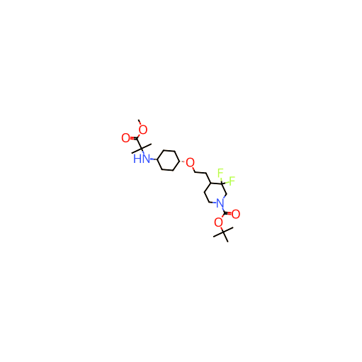 COC(=O)C(C)(C)N[C@H]1CC[C@H](OCCC2CCN(C(=O)OC(C)(C)C)CC2(F)F)CC1